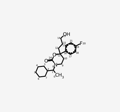 CC(C1CCCCC1)N1CCC(CCCO)(c2ccc(F)cc2)OC1=O